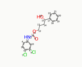 O=C(Nc1ccc(Cl)c(Cl)c1)OCCCC(O)c1ccccc1